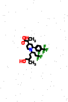 CC(CO)CC[C@H](CCC(F)(F)F)N1CC[C@@H](C(C)C(=O)O)C[C@H]1c1ccc(C(F)(F)F)cc1